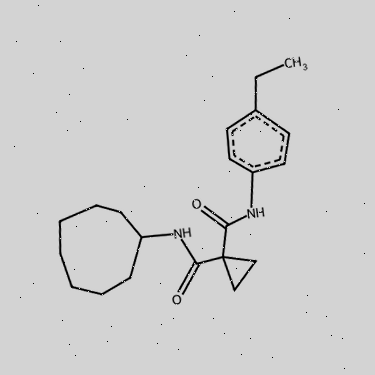 CCc1ccc(NC(=O)C2(C(=O)NC3CCCCCCC3)CC2)cc1